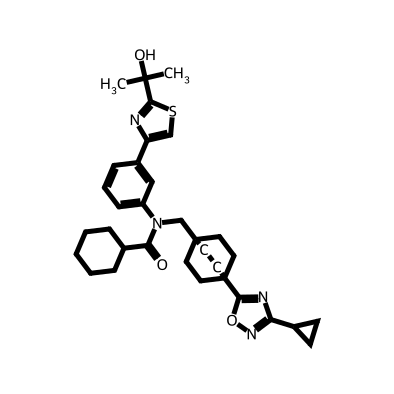 CC(C)(O)c1nc(-c2cccc(N(CC34CCC(c5nc(C6CC6)no5)(CC3)CC4)C(=O)C3CCCCC3)c2)cs1